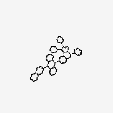 C1=C(c2ccccc2)C2N=C(c3ccccc3)C(c3ccccc3)=C2c2cc(-c3c4ccccc4c(-c4ccc5ccccc5c4)c4ccccc34)ccc21